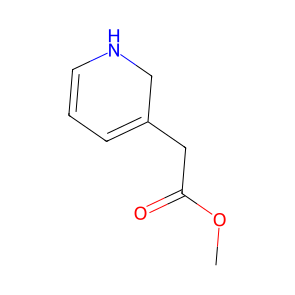 COC(=O)CC1=CC=CNC1